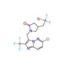 O=C1CC(CC(F)(F)Br)CN1Cc1c(C(F)(F)F)nc2ccc(Cl)nn12